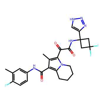 Cc1cc(NC(=O)c2c(C)c(C(=O)C(=O)NC3(c4c[nH]nn4)CC(F)(F)C3)n3c2CCCC3)ccc1F